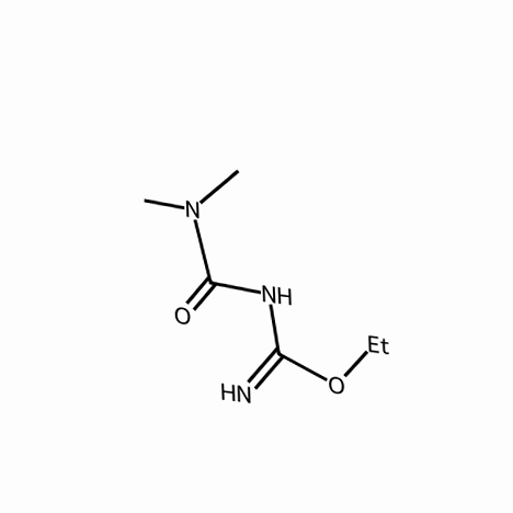 CCOC(=N)NC(=O)N(C)C